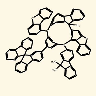 CC1(C)c2ccccc2-c2ccc(N3c4cc(-c5ccc6c(c5)C5(c7ccccc7-c7ccccc75)c5ccccc5-6)cc(c4)N(c4cccc5oc6ccccc6c45)c4ccc5c(c4)C(C)(c4cc3c3c(c4)oc4ccccc43)c3ccccc3-5)cc21